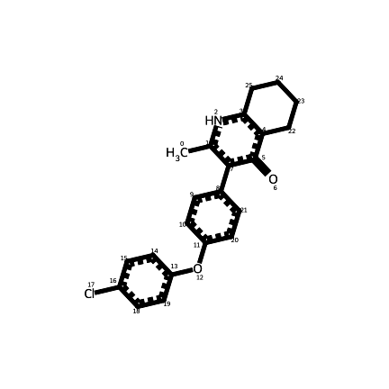 Cc1[nH]c2c(c(=O)c1-c1ccc(Oc3ccc(Cl)cc3)cc1)CCCC2